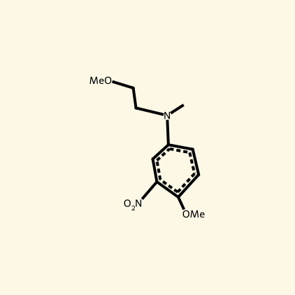 COCCN(C)c1ccc(OC)c([N+](=O)[O-])c1